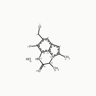 Cc1cc2cc(CCl)c(F)c3c2n1C(C)C(=O)N3.Cl